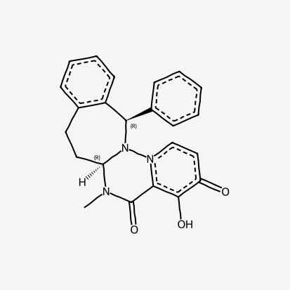 CN1C(=O)c2c(O)c(=O)ccn2N2[C@H](c3ccccc3)c3ccccc3CC[C@H]12